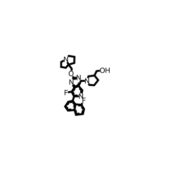 OCC1CCCN(c2nc(OCC34CCCN3CCC4)nc3c(F)c(-c4cccc5cccc(F)c45)ncc23)C1